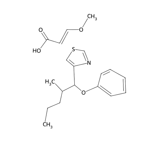 CCCC(C)C(Oc1ccccc1)c1cscn1.COC=CC(=O)O